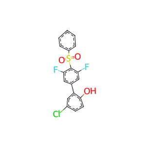 O=S(=O)(c1ccccc1)c1c(F)cc(-c2cc(Cl)ccc2O)cc1F